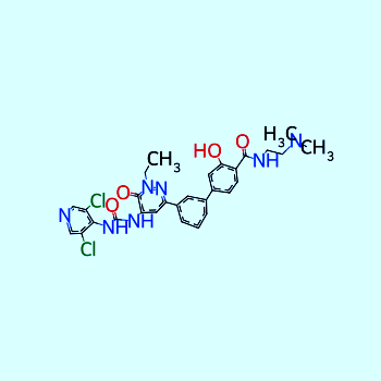 CCn1nc(-c2cccc(-c3ccc(C(=O)NCCN(C)C)c(O)c3)c2)cc(NC(=O)Nc2c(Cl)cncc2Cl)c1=O